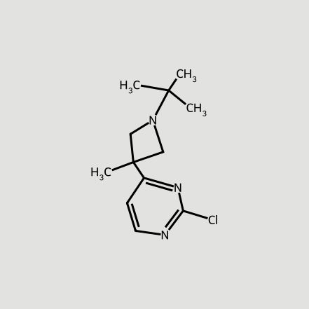 CC1(c2ccnc(Cl)n2)CN(C(C)(C)C)C1